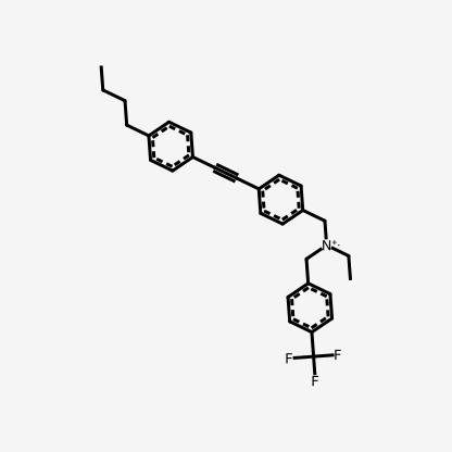 CCCCc1ccc(C#Cc2ccc(C[N+](CC)Cc3ccc(C(F)(F)F)cc3)cc2)cc1